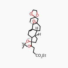 CCOC(=O)CCC(=O)[C@@]1(O[Si](C)(C)C)CC[C@H]2[C@@H]3CCC45CC6(CC[C@@]4(O5)C3=CC[C@@]21C)OCCO6